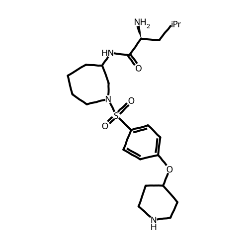 CC(C)C[C@H](N)C(=O)NC1CCCCN(S(=O)(=O)c2ccc(OC3CCNCC3)cc2)C1